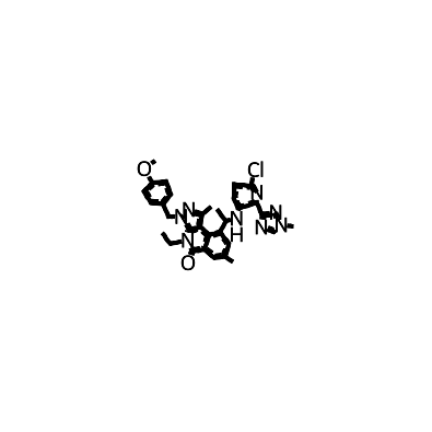 CCn1c(=O)c2cc(C)cc(C(C)Nc3ccc(Cl)nc3-c3ncn(C)n3)c2c2c(C)nn(Cc3ccc(OC)cc3)c21